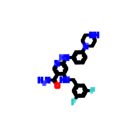 NC(=O)c1cnc(Nc2cccc(N3CCNCC3)c2)cc1NCc1cc(F)cc(F)c1